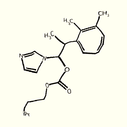 Cc1cccc(C(C)C(OC(=O)OCCC(C)C)n2ccnc2)c1C